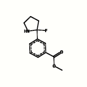 COC(=O)c1cccc(C2(F)CCCN2)c1